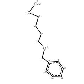 CCCCOCCCCOCc1ccccc1